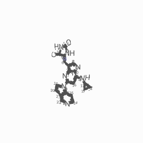 O=C1NC(=O)/C(=C/c2cnn3c(NC4CC4)cc(-n4ccc5cnccc54)nc23)N1